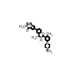 Cc1ccc(N2CCN(C)CC2)cc1C(=O)N[C@H](C)c1cccc(-c2cc(C(=O)N(C)C)n(C)c2)c1